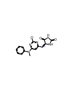 CN(c1ccccc1)c1cc(/C=C2/NC(=O)NC2=O)nc(Cl)n1